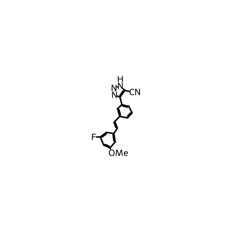 COc1cc(F)cc(/C=C/c2cccc(-c3nn[nH]c3C#N)c2)c1